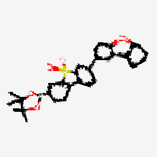 CC1(C)OB(c2ccc3c(c2)S(=O)(=O)c2cc(-c4ccc5oc6ccccc6c5c4)ccc2-3)OC1(C)C